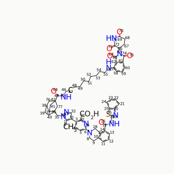 Cc1c(-c2ccc(N3CCc4cccc(C(=O)Nc5nc6ccccc6s5)c4C3)nc2C(=O)O)cnn1CC12CC3CC1CC(C(=O)NCCCCCCCCCCNc1cccc4c1C(=O)N(C1CCC(=O)NC1=O)C4=O)(C3)C2